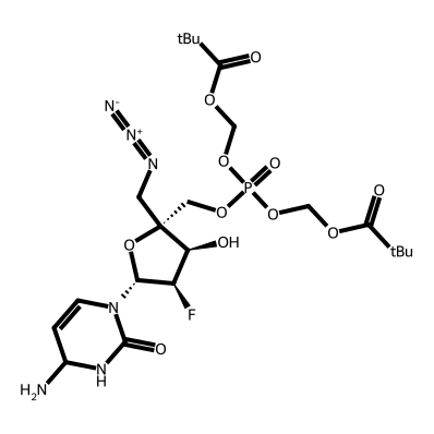 CC(C)(C)C(=O)OCOP(=O)(OCOC(=O)C(C)(C)C)OC[C@@]1(CN=[N+]=[N-])O[C@@H](N2C=CC(N)NC2=O)[C@H](F)[C@@H]1O